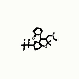 CN(C=O)CC1=C(n2ccccc2=O)c2cc(C(F)(F)C(F)(F)F)ccc2OC1(C)C